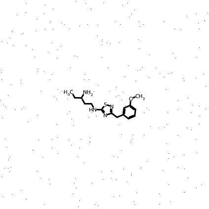 CCC(N)CCNc1nc(Cc2cccc(OC)c2)ns1